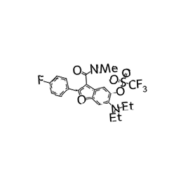 CCN(CC)c1cc2oc(-c3ccc(F)cc3)c(C(=O)NC)c2cc1OS(=O)(=O)C(F)(F)F